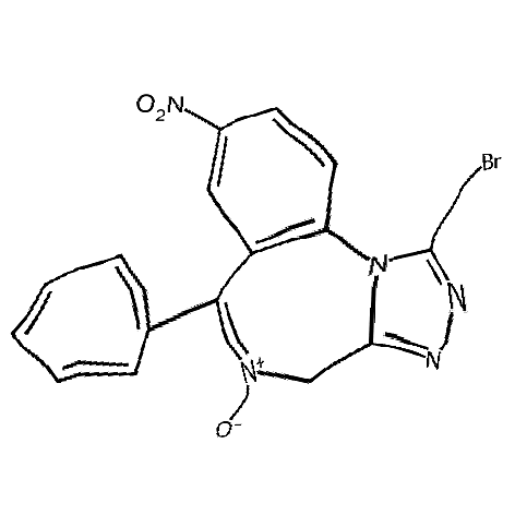 O=[N+]([O-])c1ccc2c(c1)C(c1ccccc1)=[N+]([O-])Cc1nnc(CBr)n1-2